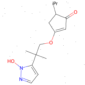 CC(C)C1CC(OCC(C)(C)c2ccnn2O)=CC1=O